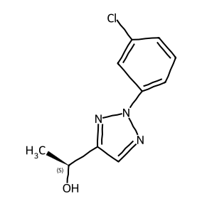 C[C@H](O)c1cnn(-c2cccc(Cl)c2)n1